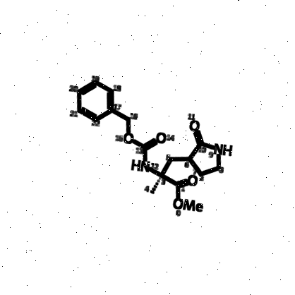 COC(=O)[C@](C)(CC1CCNC1=O)NC(=O)OCc1ccccc1